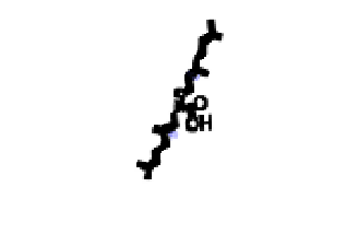 CC(C)=CCC/C(C)=C/CS[C@@H](C/C=C(\C)CCC=C(C)C)C(=O)O